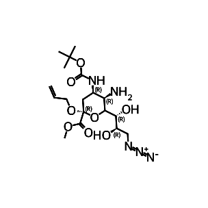 C=CCO[C@]1(C(=O)OC)C[C@@H](NC(=O)OC(C)(C)C)[C@@H](N)C([C@H](O)[C@H](O)CN=[N+]=[N-])O1